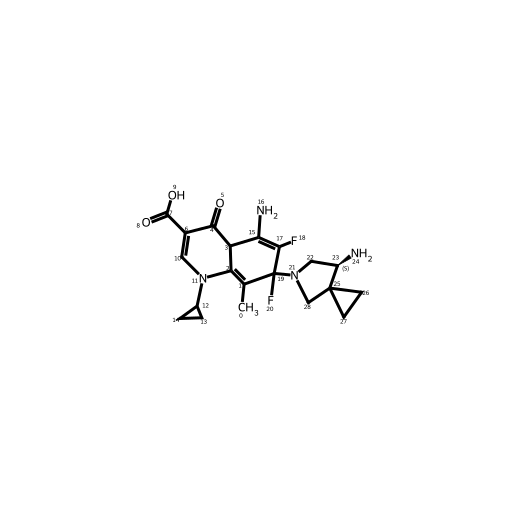 CC1=C2C(C(=O)C(C(=O)O)=CN2C2CC2)C(N)=C(F)C1(F)N1C[C@@H](N)C2(CC2)C1